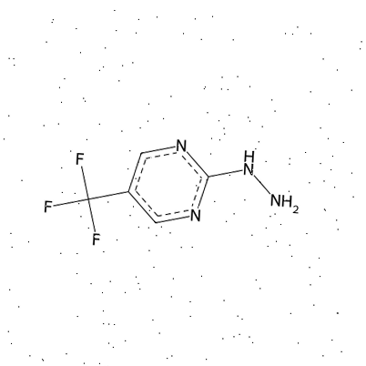 NNc1ncc(C(F)(F)F)cn1